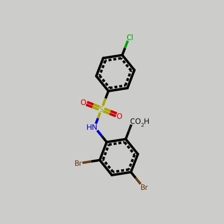 O=C(O)c1cc(Br)cc(Br)c1NS(=O)(=O)c1ccc(Cl)cc1